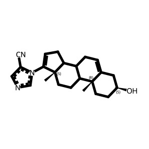 C[C@]12CC[C@H](O)CC1=CCC1C2CC[C@]2(C)C(n3cncc3C#N)=CCC12